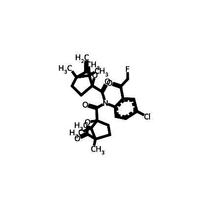 C=C1OC2(C(=O)N(C(=O)C34CCC(C)(C(=O)O3)C4(C)C)c3ccc(Cl)cc3C(=O)CF)CCC1(C)C2(C)C